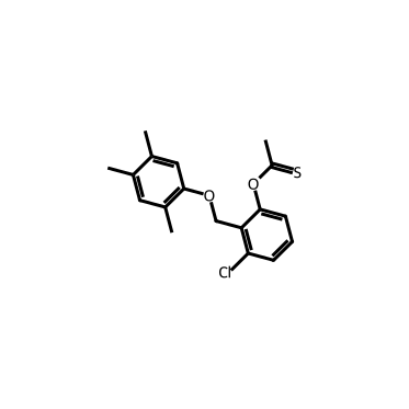 CC(=S)Oc1cccc(Cl)c1COc1cc(C)c(C)cc1C